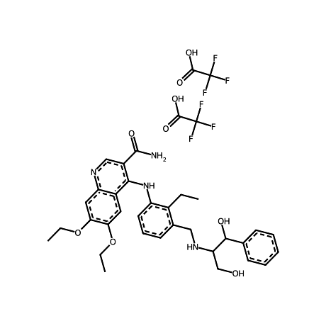 CCOc1cc2ncc(C(N)=O)c(Nc3cccc(CNC(CO)C(O)c4ccccc4)c3CC)c2cc1OCC.O=C(O)C(F)(F)F.O=C(O)C(F)(F)F